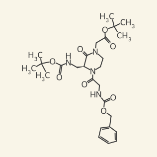 CC(C)(C)OC(=O)CN1CCN(C(=O)CNC(=O)OCc2ccccc2)[C@@H](CNC(=O)OC(C)(C)C)C1=O